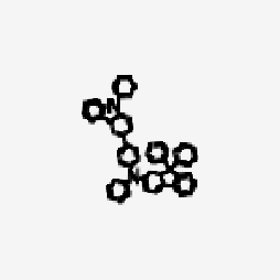 C1=CCC(N(C2=CC=C3c4ccccc4C(C4=CCCC=C4)(c4ccccc4)C3C2)C2C=CC(C3C=CC4C(C3)c3ccccc3N4C3=CCCC=C3)=CC2)C=C1